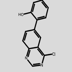 Oc1ccccc1-c1ccc2ncnc(Cl)c2c1